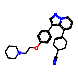 N#CC1CC=C(c2cccn3ncc(-c4ccc(OCCN5CCCCC5)cc4)c23)CC1